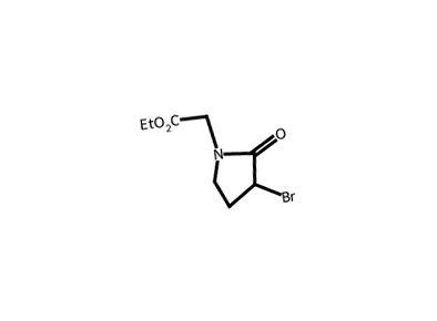 CCOC(=O)CN1CCC(Br)C1=O